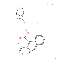 O=C(OCCC1CC2C=CC1C2)c1c2ccccc2cc2ccccc12